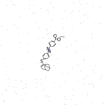 CCOC(=O)c1ccc(/N=N/c2ccc(SC3C4CC5CC(C4)CC3C5)cc2)cc1